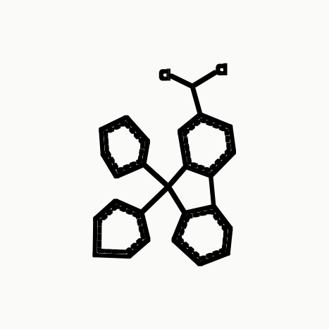 ClC(Cl)c1ccc2c(c1)C(c1ccccc1)(c1ccccc1)c1ccccc1-2